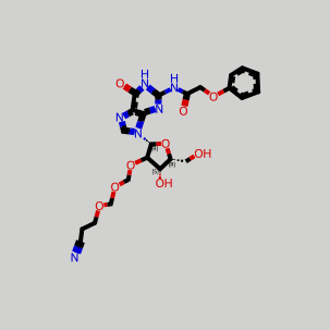 N#CCCOCOCOC1[C@@H](O)[C@@H](CO)O[C@H]1n1cnc2c(=O)[nH]c(NC(=O)COc3ccccc3)nc21